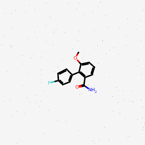 COc1cc[c]c(C(N)=O)c1-c1ccc(F)cc1